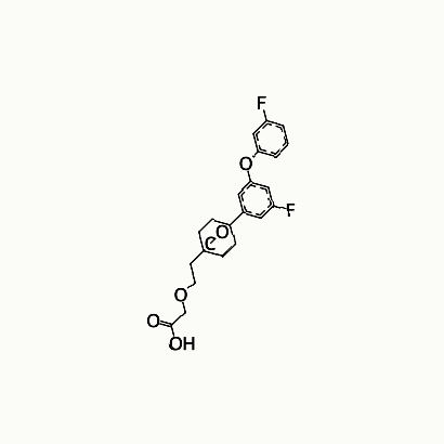 O=C(O)COCCC12CCC(c3cc(F)cc(Oc4cccc(F)c4)c3)(CC1)OC2